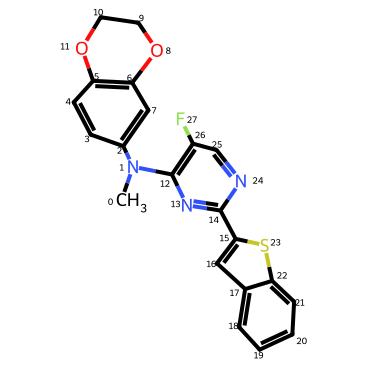 CN(c1ccc2c(c1)OCCO2)c1nc(-c2cc3ccccc3s2)ncc1F